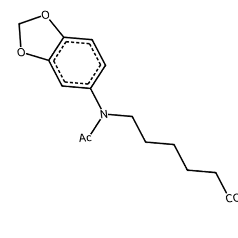 CC(=O)N(CCCCCC(=O)O)c1ccc2c(c1)OCO2